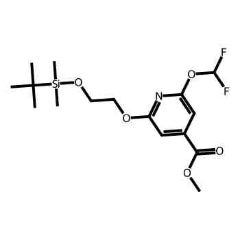 COC(=O)c1cc(OCCO[Si](C)(C)C(C)(C)C)nc(OC(F)F)c1